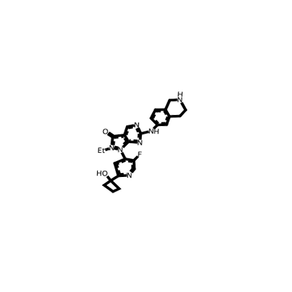 CCn1c(=O)c2cnc(Nc3ccc4c(c3)CCNC4)nc2n1-c1cc(C2(O)CCC2)ncc1F